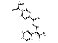 COC(=O)c1ccc(C(=O)C=CC(=C(C)Br)c2ccccc2)cc1